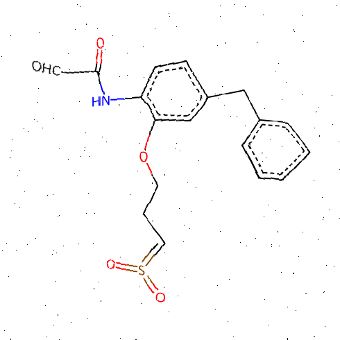 O=CC(=O)Nc1ccc(Cc2ccccc2)cc1OCCC=S(=O)=O